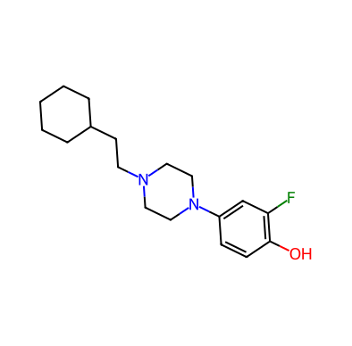 Oc1ccc(N2CCN(CCC3CCCCC3)CC2)cc1F